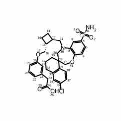 NS(=O)(=O)c1ccc2c(c1)N(C[C@@H]1CC[C@H]1COc1cccc(CC(=O)O)c1)C[C@@]1(CCCc3cc(Cl)ccc31)CO2